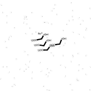 CCCCCCCCCCCC(=O)[O-].CCCCCCCCCCCC(=O)[O-].CCCCCCCCCCCC(=O)[O-].CCCCCCCCCCCC(=O)[O-].[Ru+4]